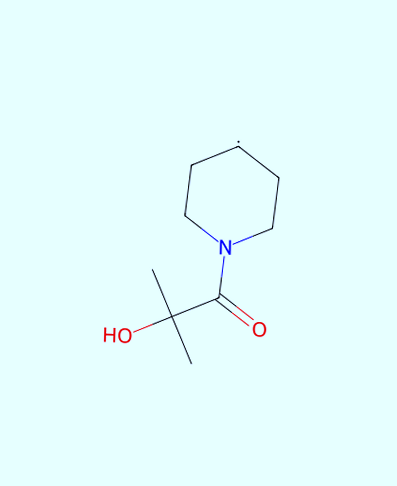 CC(C)(O)C(=O)N1CC[CH]CC1